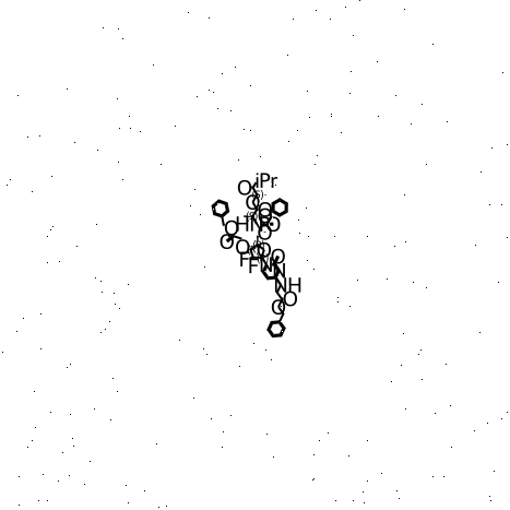 CC(C)C(=O)[C@H](C)OC(=O)[C@H](C)NP(=O)(OC[C@H]1O[C@@H](n2ccc(NCC(=O)OCc3ccccc3)nc2=O)C(F)(F)[C@@H]1OCC(=O)OCc1ccccc1)Oc1ccccc1